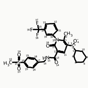 Cc1c([S+]([O-])C2CCCCC2)cc(C(=O)NCc2ccc(S(C)(=O)=O)cc2)c(=O)n1-c1cccc(C(F)(F)F)c1